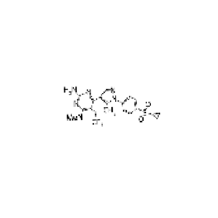 CNc1nc(N)nc(-c2cnn(-c3ccc(S(=O)(=O)C4CC4)cc3)c2C)c1CC(F)(F)F